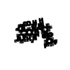 CN1CCN(c2cc(C(N)=O)c(C(=O)Nc3n[nH]c4c3CN(S(=O)(=O)c3cc(F)cc(F)c3)CC4(C)C)cc2N2CCC[C@H]2C(=O)O)CC1